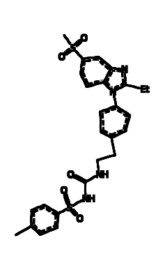 CCc1nc2cc(S(C)(=O)=O)ccc2n1-c1ccc(CCNC(=O)NS(=O)(=O)c2ccc(C)cc2)cc1